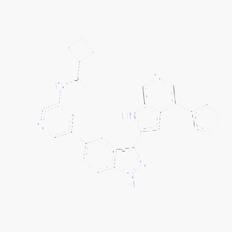 O=C(Nc1cncc(-c2ccc3[nH]nc(-c4cc5c(-c6ccsc6)cncc5[nH]4)c3c2)c1)C1CCC1